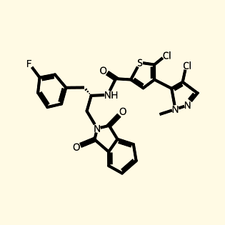 Cn1ncc(Cl)c1-c1cc(C(=O)N[C@@H](Cc2cccc(F)c2)CN2C(=O)c3ccccc3C2=O)sc1Cl